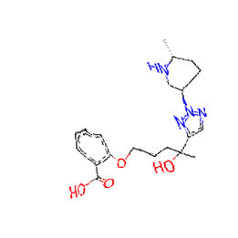 C[C@@H]1CC[C@@H](n2ncc(C(C)(O)CCCOc3ccccc3C(=O)O)n2)CN1